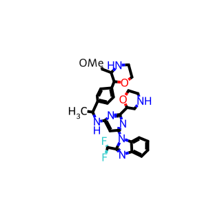 COCC1NCCOC1c1ccc(C(C)Nc2cc(-n3c(C(F)F)nc4ccccc43)nc(C3CNCCO3)n2)cc1